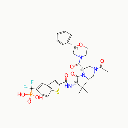 CC(=O)N1CCN(C(=O)[C@@H](NC(=O)c2cc3cc(C(F)(F)P(=O)(O)O)ccc3s2)C(C)(C)C)[C@H](C(=O)N2CCO[C@@H](c3ccccc3)C2)C1